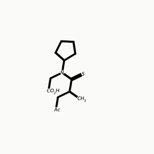 CC(=O)CC(C)C(=S)N(CC(=O)O)C1CCCC1